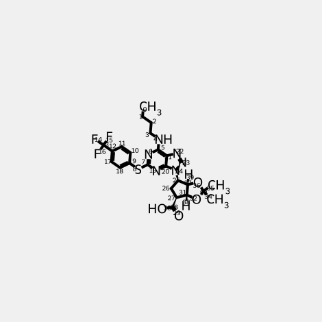 CCCCNc1nc(Sc2ccc(C(F)(F)F)cc2)nc2c1nnn2[C@@H]1C[C@H](C(=O)O)[C@H]2OC(C)(C)O[C@H]21